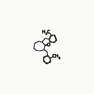 Cc1ccccc1CC1CCCCCC(Cc2ccccc2C)C1=O